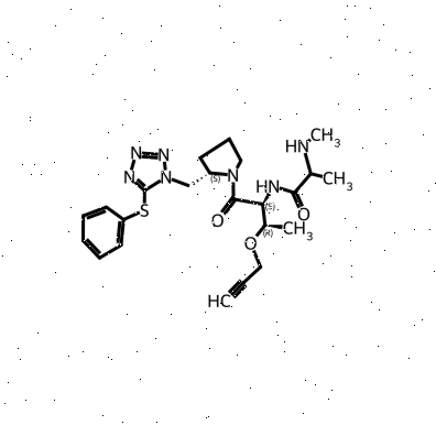 C#CCO[C@H](C)[C@H](NC(=O)C(C)NC)C(=O)N1CCC[C@H]1Cn1nnnc1Sc1ccccc1